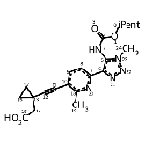 CCCC(C)OC(=O)Nc1c(-c2ccc(C#CC3(CC(=O)O)CC3)c(C)n2)nnn1C